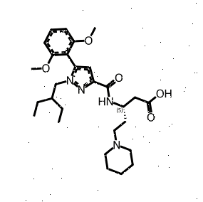 CCC(CC)Cn1nc(C(=O)N[C@@H](CCN2CCCCC2)CC(=O)O)cc1-c1c(OC)cccc1OC